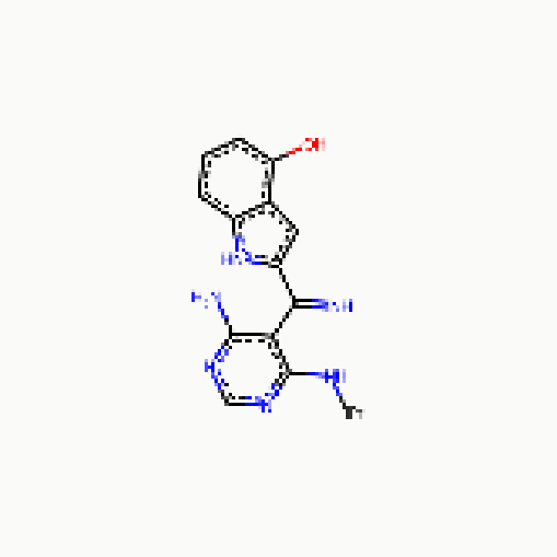 CC(C)Nc1ncnc(N)c1C(=N)c1cc2c(O)cccc2[nH]1